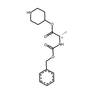 C[C@H](NC(=O)OCc1ccccc1)C(=O)OC1CCNCC1